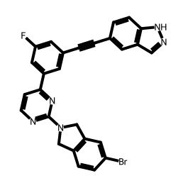 Fc1cc(C#Cc2ccc3[nH]ncc3c2)cc(-c2ccnc(N3Cc4ccc(Br)cc4C3)n2)c1